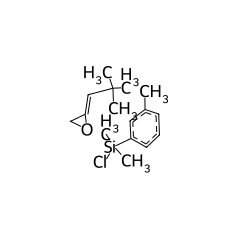 CC(C)(C)C=C1CO1.Cc1cccc([Si](C)(C)Cl)c1